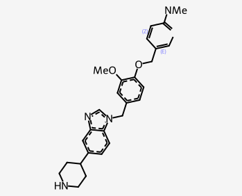 C=C(/C=C\C(=C/C)COc1ccc(Cn2cnc3cc(C4CCNCC4)ccc32)cc1OC)NC